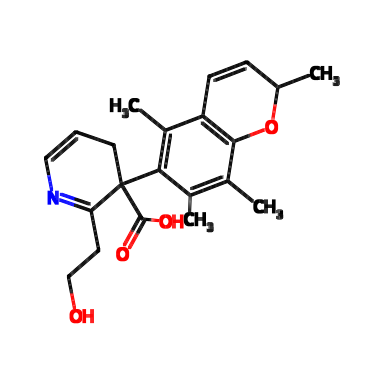 Cc1c(C)c(C2(C(=O)O)CC=CN=C2CCO)c(C)c2c1OC(C)C=C2